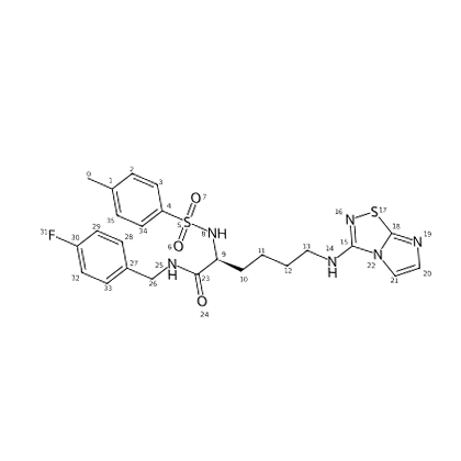 Cc1ccc(S(=O)(=O)N[C@@H](CCCCNc2nsc3nccn23)C(=O)NCc2ccc(F)cc2)cc1